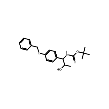 CC(O)C(NC(=O)OC(C)(C)C)c1ccc(OCc2ccccc2)cc1